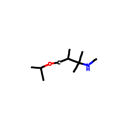 CNC(C)(C)C(C)COC(C)C